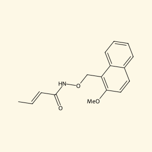 CC=CC(=O)NOCc1c(OC)ccc2ccccc12